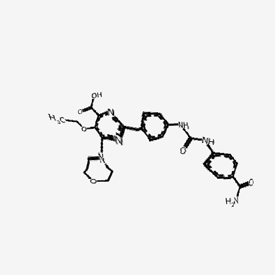 CCOc1c(C(=O)O)nc(-c2ccc(NC(=O)Nc3ccc(C(N)=O)cc3)cc2)nc1N1CCOCC1